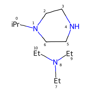 CC(C)N1CCNCC1.CCN(CC)CC